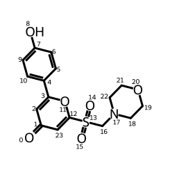 O=c1cc(-c2ccc(O)cc2)oc(S(=O)(=O)CN2CCOCC2)c1